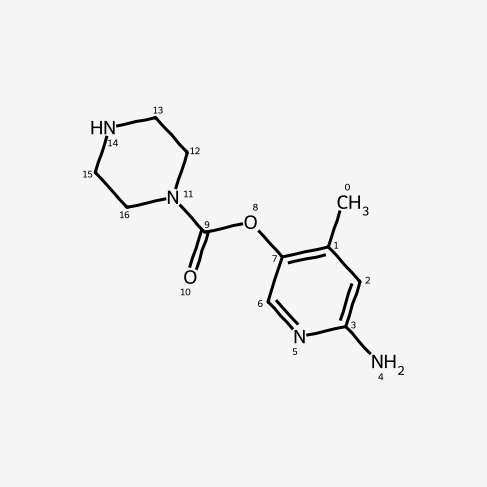 Cc1cc(N)ncc1OC(=O)N1CCNCC1